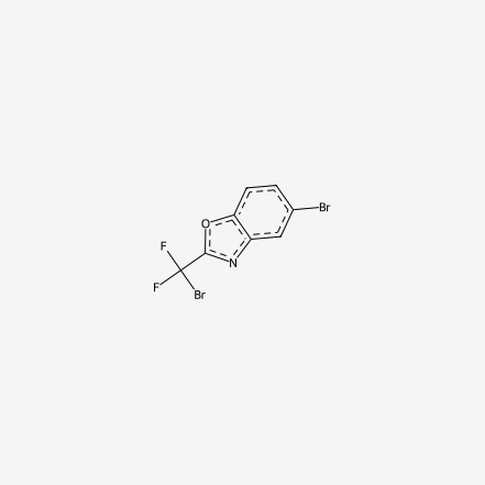 FC(F)(Br)c1nc2cc(Br)ccc2o1